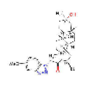 CC[C@@H]1C[C@H]2[C@@H]3CC[C@H]4C[C@](C)(O)CC[C@]4(C)[C@H]3CC[C@]2(C)C1C(=O)Cn1nnc2cc(OC)ccc21